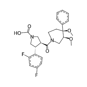 CO[C@H]1CN(C(=O)[C@@H]2CN(C(=O)O)C[C@H]2c2ccc(F)cc2F)CC[C@]1(OC)c1ccccc1